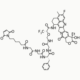 CC[C@@]1(O)C(=O)OCc2c1cc1n(c2=O)Cc2c-1nc1cc(F)c(C)c3c1c2[C@@H](NC(=O)[C@H](OCNC(=O)CNC(=O)[C@H](Cc1ccccc1)NC(=O)CNC(=O)CNC(=O)CCCCCN1C(=O)C=CC1=O)C(F)(F)F)CC3